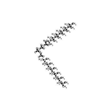 C[O+](C)C.C[O+](C)C.C[O+](C)C.C[O+](C)C.C[O+](C)C.C[O+](C)C.C[O+](C)C.C[O+](C)C.C[O+](C)C.C[O+](C)C.C[O+](C)C.C[O+](C)C.[O-]B([O-])[O-].[O-]B([O-])[O-].[O-]B([O-])[O-].[O-]B([O-])[O-]